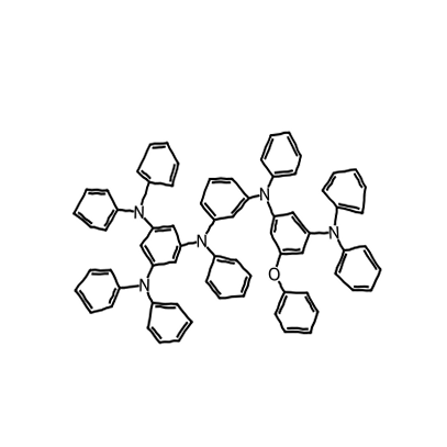 c1ccc(Oc2cc(N(c3ccccc3)c3ccccc3)cc(N(c3ccccc3)c3cccc(N(c4ccccc4)c4cc(N(c5ccccc5)c5ccccc5)cc(N(c5ccccc5)c5ccccc5)c4)c3)c2)cc1